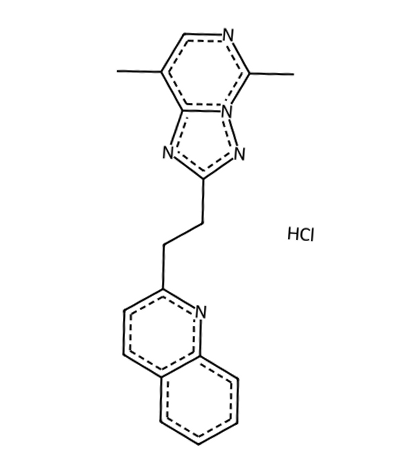 Cc1cnc(C)n2nc(CCc3ccc4ccccc4n3)nc12.Cl